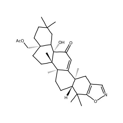 CC(=O)OC[C@]12CCC(C)(C)CC1[C@@]1(O)C(=O)C=C3[C@@]4(C)Cc5cnoc5C(C)(C)[C@@H]4CC[C@@]3(C)[C@]1(C)CC2